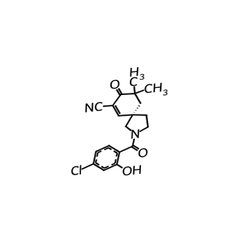 CC1(C)C[C@]2(C=C(C#N)C1=O)CCN(C(=O)c1ccc(Cl)cc1O)C2